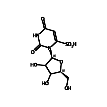 O=c1cc(S(=O)(=O)O)n([C@H]2O[C@@H](CO)C(O)C2O)c(=O)[nH]1